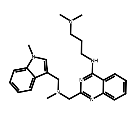 CN(C)CCCNc1nc(CN(C)Cc2cn(C)c3ccccc23)nc2ccccc12